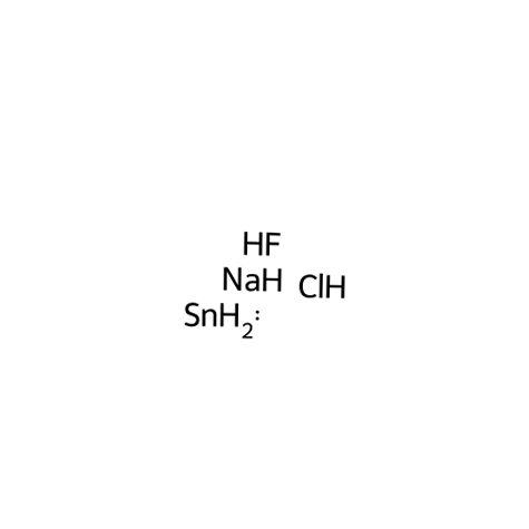 Cl.F.[NaH].[SnH2]